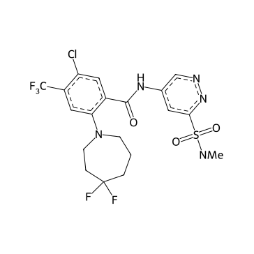 CNS(=O)(=O)c1cc(NC(=O)c2cc(Cl)c(C(F)(F)F)cc2N2CCCC(F)(F)CC2)cnn1